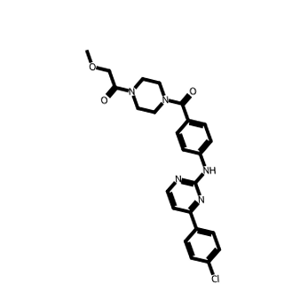 COCC(=O)N1CCN(C(=O)c2ccc(Nc3nccc(-c4ccc(Cl)cc4)n3)cc2)CC1